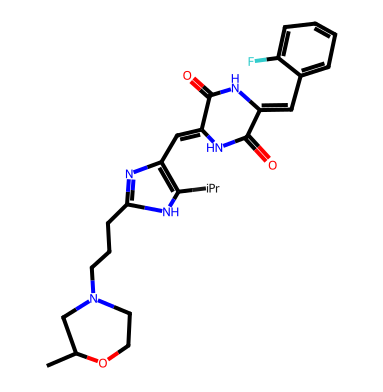 CC1CN(CCCc2nc(C=c3[nH]c(=O)c(=Cc4ccccc4F)[nH]c3=O)c(C(C)C)[nH]2)CCO1